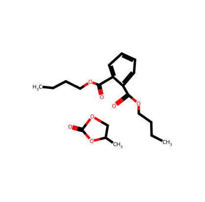 CC1COC(=O)O1.CCCCOC(=O)c1ccccc1C(=O)OCCCC